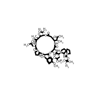 CC[C@H](C)[C@H]1NC(=O)[C@@H](NC(=O)[C@@H](CC(C)C)N2CCC3(CCCN3C(=O)OC(C)(C)C)C2=O)[C@@H](C)OC(=O)[C@H](Cc2ccc(OC)cc2)N(C)[C@@H]2CCCN2C(=O)[C@H](CC(C)C)NC(=O)[C@@H](C)C(=O)[C@H](C(C)C)OC(=O)C[C@@H]1O